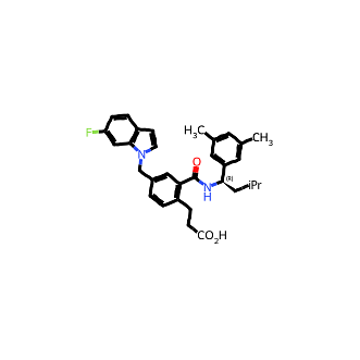 Cc1cc(C)cc([C@@H](CC(C)C)NC(=O)c2cc(Cn3ccc4ccc(F)cc43)ccc2CCC(=O)O)c1